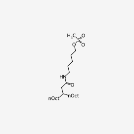 CCCCCCCCC(CCCCCCCC)CC(=O)NCCCCCOS(C)(=O)=O